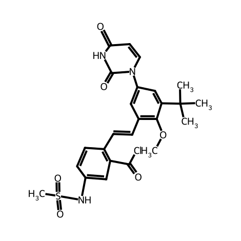 COc1c(C=Cc2ccc(NS(C)(=O)=O)cc2C(=O)Cl)cc(-n2ccc(=O)[nH]c2=O)cc1C(C)(C)C